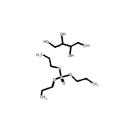 CCCOP(=O)(OCCC)OCCC.OCC(O)C(O)CO